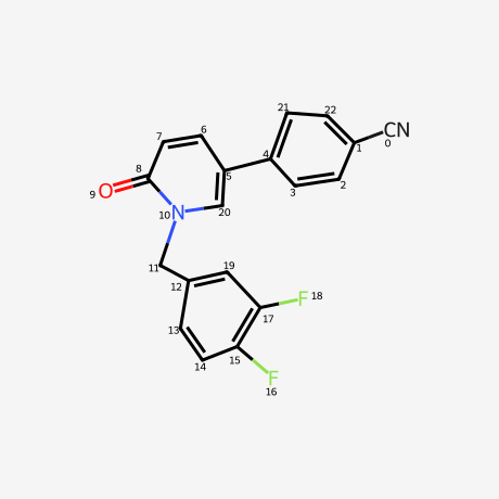 N#Cc1ccc(-c2ccc(=O)n(Cc3ccc(F)c(F)c3)c2)cc1